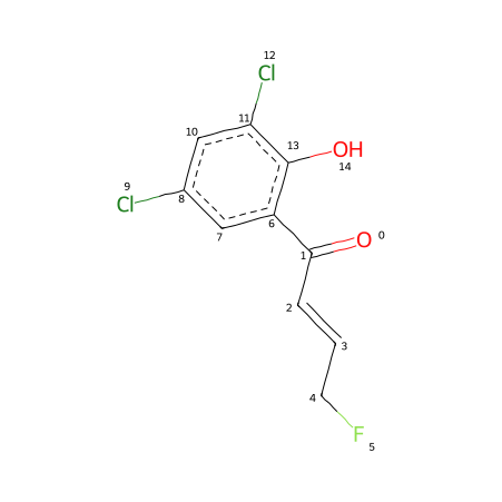 O=C(/C=C/CF)c1cc(Cl)cc(Cl)c1O